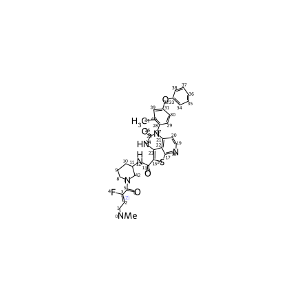 CNC/C=C(\F)C(=O)N1CCCC(NC(=O)c2sc3nccc4c3c2NC(=O)N4c2ccc(Oc3ccccc3)cc2C)C1